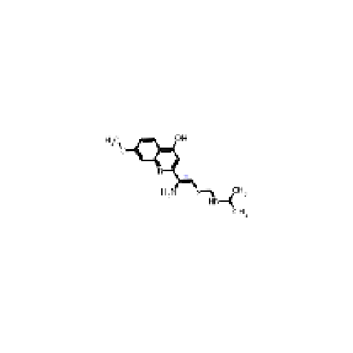 COc1ccc2c(O)cc(/C(N)=C/SCNC(C)C)nc2c1